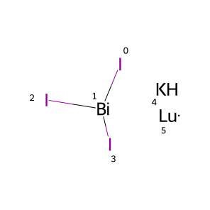 [I][Bi]([I])[I].[KH].[Lu]